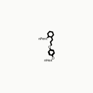 CCCCCCOc1ccc(OCCCC2CCCCC2CCCCC)cc1